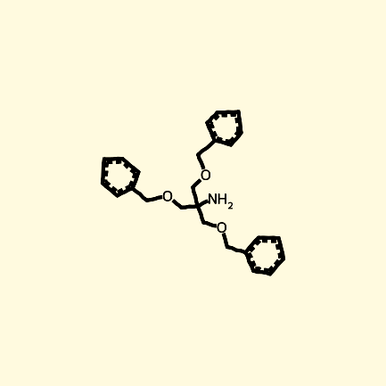 NC(COCc1ccccc1)(COCc1ccccc1)COCc1ccccc1